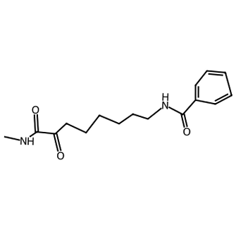 CNC(=O)C(=O)CCCCCCNC(=O)c1ccccc1